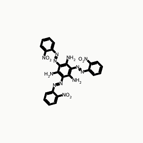 Nc1c(N=Nc2ccccc2[N+](=O)[O-])c(N)c(N=Nc2ccccc2[N+](=O)[O-])c(N)c1N=Nc1ccccc1[N+](=O)[O-]